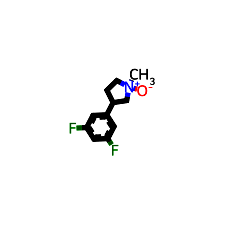 C[N+]1([O-])CCC(c2cc(F)cc(F)c2)C1